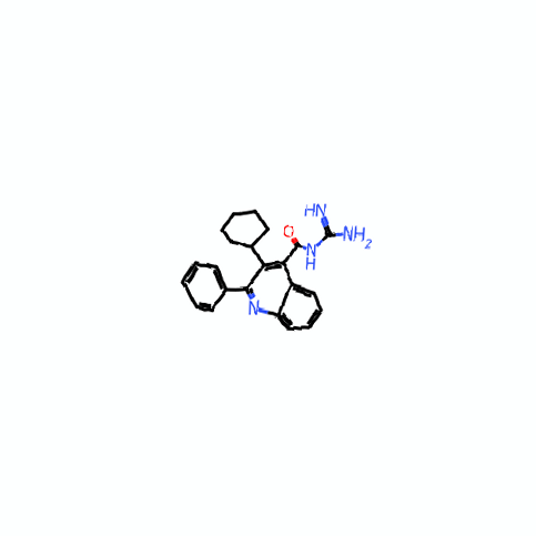 N=C(N)NC(=O)c1c(C2CCCCC2)c(-c2ccccc2)nc2ccccc12